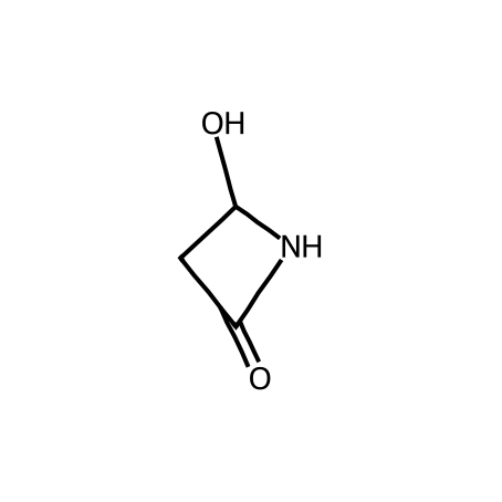 O=C1CC(O)N1